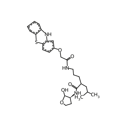 CC(C)CC(CCCNC(=O)COc1ccc2c(c1)Nc1ccccc1S2)C(=O)N[C@H]1CCOC1O